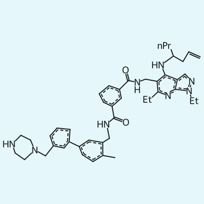 C=CCC(CCC)Nc1c(CNC(=O)c2cccc(C(=O)NCc3cc(-c4cccc(CN5CCNCC5)c4)ccc3C)c2)c(CC)nc2c1cnn2CC